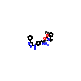 CC(C)c1cccc(C2(N3C[C@H]([C@@H](N)Cc4ccc(Nc5cc(-c6ccccc6)ncn5)cc4)OC3=O)CC2)c1